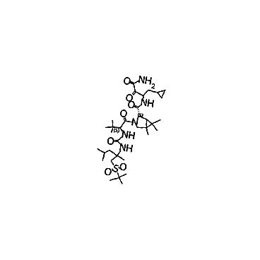 CC(C)CC(C)(CS(=O)(=O)C(C)(C)C)NC(=O)N[C@H](C(=O)N1CC2(C)C([C@H]1C(=O)NC(CC1CC1)C(=O)C(N)=O)C2(C)C)C(C)(C)C